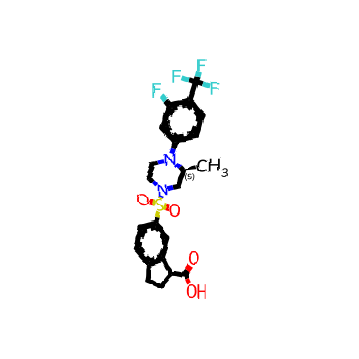 C[C@H]1CN(S(=O)(=O)c2ccc3c(c2)C(C(=O)O)CC3)CCN1c1ccc(C(F)(F)F)c(F)c1